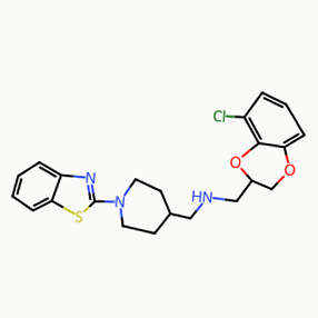 Clc1cccc2c1OC(CNCC1CCN(c3nc4ccccc4s3)CC1)CO2